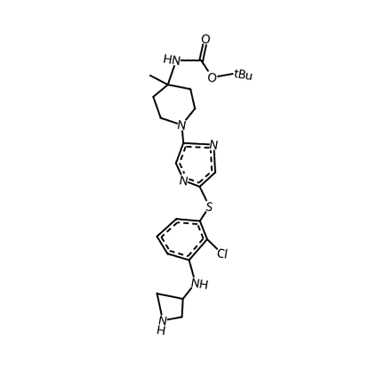 CC1(NC(=O)OC(C)(C)C)CCN(c2cnc(Sc3cccc(NC4CNC4)c3Cl)cn2)CC1